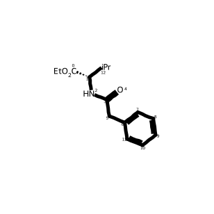 CCOC(=O)[C@@H](NC(=O)Cc1ccccc1)C(C)C